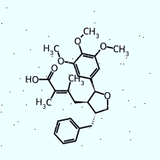 COc1cc([C@H]2OC[C@H](Cc3ccccc3)[C@H]2CC(C)=C(C)C(=O)O)cc(OC)c1OC